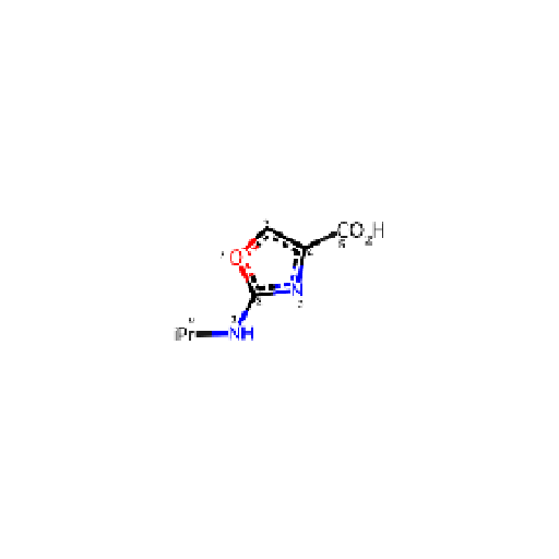 CC(C)Nc1nc(C(=O)O)co1